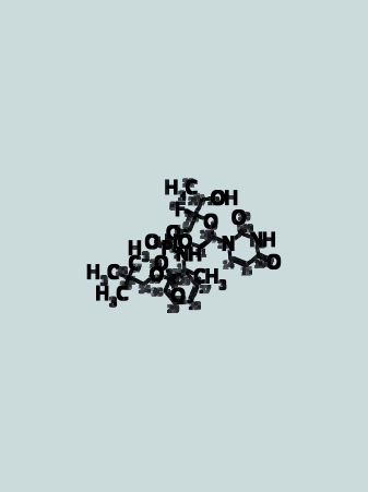 CC(NP(=O)(OC[C@@](F)(O[C@H](CO)n1ccc(=O)[nH]c1=O)[C@H](C)O)Oc1ccccc1)C(=O)OCC(C)(C)C